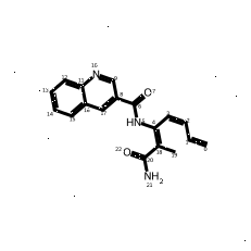 C=C/C=C\C(NC(=O)c1cnc2ccccc2c1)=C(/C)C(N)=O